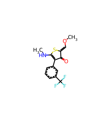 CNC1=C(c2cccc(C(F)(F)F)c2)C(=O)C(=COC)S1